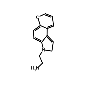 NCCN1CC=c2c1ccc1c2=CC=CO1